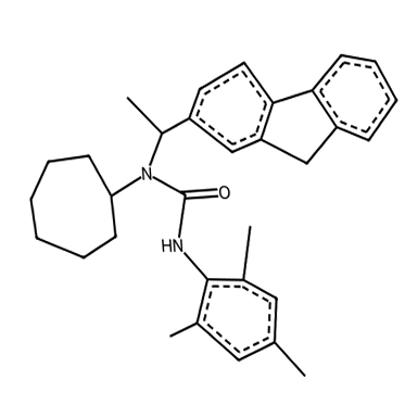 Cc1cc(C)c(NC(=O)N(C2CCCCCC2)C(C)c2ccc3c(c2)Cc2ccccc2-3)c(C)c1